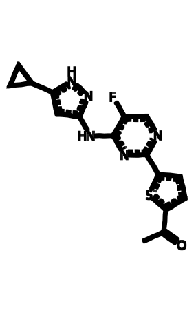 CC(=O)c1ccc(-c2ncc(F)c(Nc3cc(C4CC4)[nH]n3)n2)s1